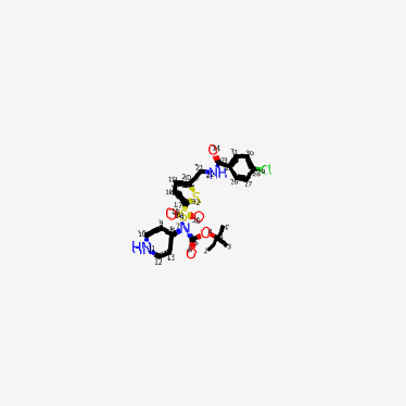 CC(C)(C)OC(=O)N(C1CCNCC1)S(=O)(=O)c1ccc(CNC(=O)c2ccc(Cl)cc2)s1